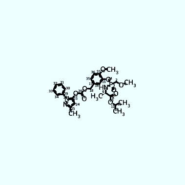 COCP(=O)(N[C@@H](C)C(=O)OC(C)C)Oc1cc(COC(=O)Oc2cc(C)nn2-c2ccccc2)ccc1OC